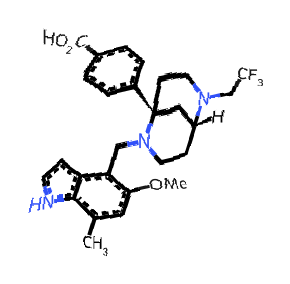 COc1cc(C)c2[nH]ccc2c1CN1CC[C@@H]2C[C@@]1(c1ccc(C(=O)O)cc1)CCN2CC(F)(F)F